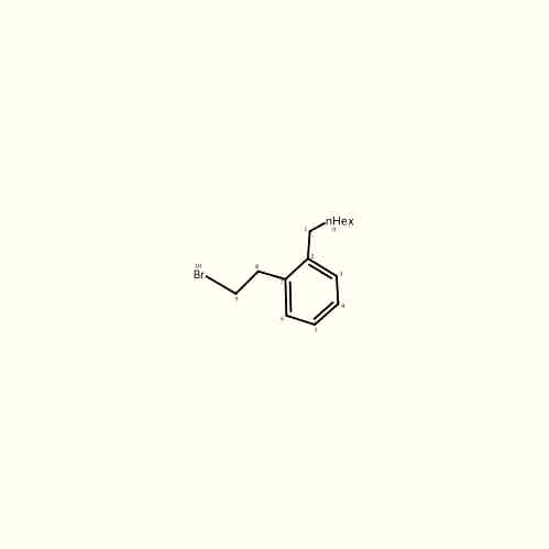 CCCCCCCc1ccccc1CCBr